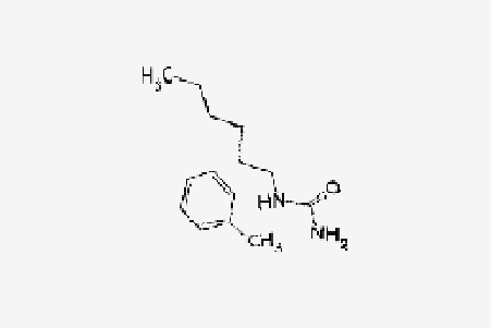 CCCCCCNC(N)=O.Cc1ccccc1